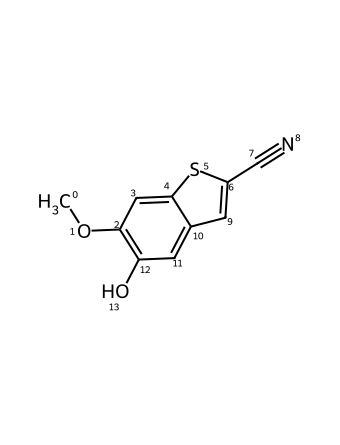 COc1cc2sc(C#N)cc2cc1O